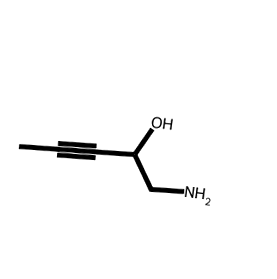 CC#CC(O)CN